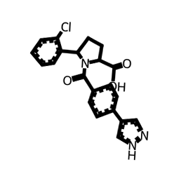 O=C(O)C1CCC(c2ccccc2Cl)N1C(=O)c1ccc(-c2cn[nH]c2)cc1